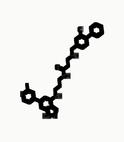 Cc1cc(-c2cc(NCCCNC(=O)CCNCc3ccc(-c4ccccc4)c(Cl)c3)c3cn[nH]c3c2)ccn1